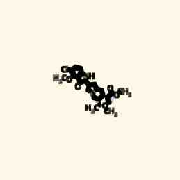 CC[C@@H]1CN2CC(C3Nc4ccc(Cl)c(OC)c4C3=O)CC2C[C@@H]1/C(=C\OC)C(=O)OC